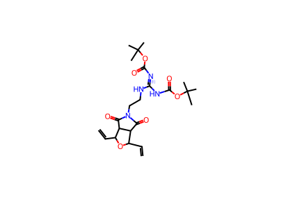 C=CC1OC(C=C)C2C(=O)N(CCN/C(=N\C(=O)OC(C)(C)C)NC(=O)OC(C)(C)C)C(=O)C12